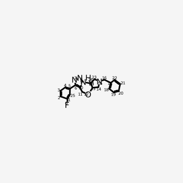 Fc1cccc(-c2nnn3c2COC2CN(Cc4ccccc4)C[C@H]23)c1